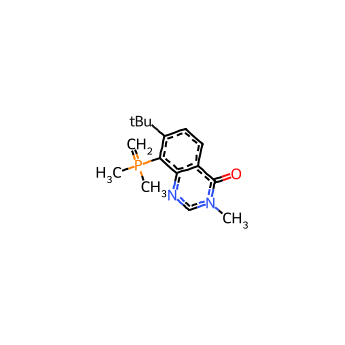 C=P(C)(C)c1c(C(C)(C)C)ccc2c(=O)n(C)cnc12